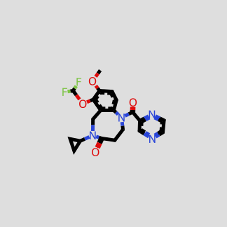 COc1ccc2c(c1OC(F)F)CN(C1CC1)C(=O)CCN2C(=O)c1cnccn1